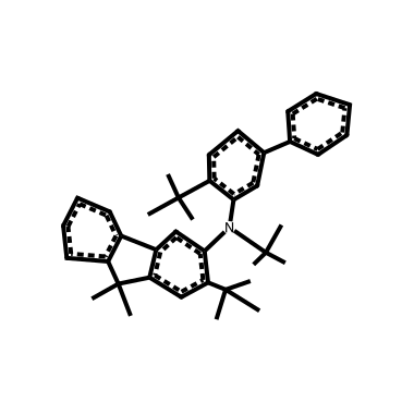 CC(C)(C)c1ccc(-c2ccccc2)cc1N(c1cc2c(cc1C(C)(C)C)C(C)(C)c1ccccc1-2)C(C)(C)C